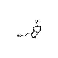 Cc1ccc2occ(CCO)c2c1